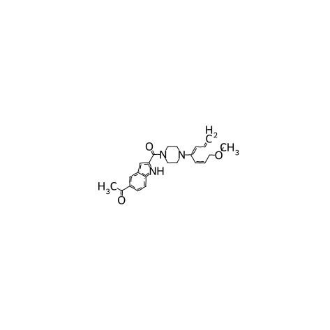 C=C/C=C(\C=C/COC)N1CCN(C(=O)c2cc3cc(C(C)=O)ccc3[nH]2)CC1